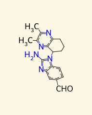 Cc1nc2c(nc1C)C(n1c(N)nc3cc(C=O)ccc31)CCC2